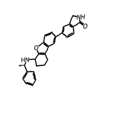 C[C@@H](NC1CCCc2c1oc1ccc(-c3ccc4c(c3)CNC4=O)cc21)c1ccccc1